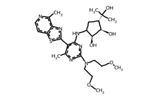 COCCN(CCOC)c1nc(C)c(-c2nc3c(C)nccc3s2)c(NC2C[C@H](C(C)(C)O)[C@@H](O)[C@H]2O)n1